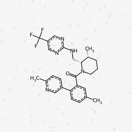 Cc1ccc(-c2ccc(C)nc2)c(C(=O)N2CCC[C@@H](C)[C@H]2CNc2ncc(C(F)(F)F)cn2)c1